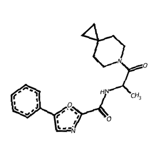 CC(NC(=O)c1ncc(-c2ccccc2)o1)C(=O)N1CCC2(CC1)CC2